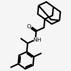 Cc1ccc(C)c(C(C)NC(=O)CC23CC4CC(CC(C4)C2)C3)c1